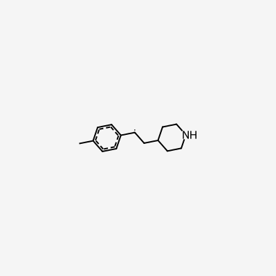 Cc1ccc([CH]CC2CCNCC2)cc1